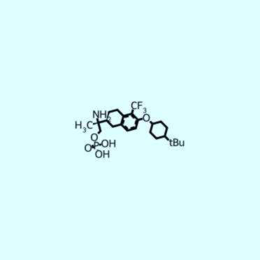 CC(C)(C)C1CCC(Oc2ccc3c(c2C(F)(F)F)CC[C@H]([C@@](C)(N)COP(=O)(O)O)C3)CC1